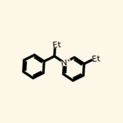 CCc1ccc[n+](C(CC)c2ccccc2)c1